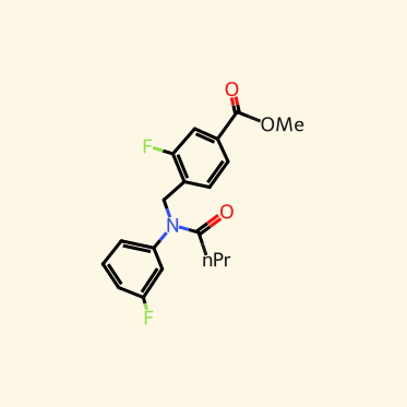 CCCC(=O)N(Cc1ccc(C(=O)OC)cc1F)c1cccc(F)c1